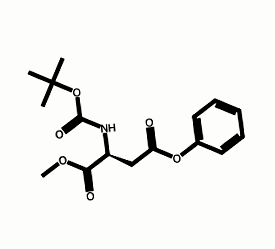 COC(=O)[C@H](CC(=O)Oc1ccccc1)NC(=O)OC(C)(C)C